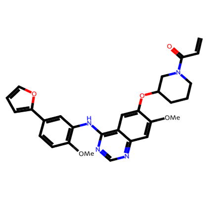 C=CC(=O)N1CCCC(Oc2cc3c(Nc4cc(-c5ccco5)ccc4OC)ncnc3cc2OC)C1